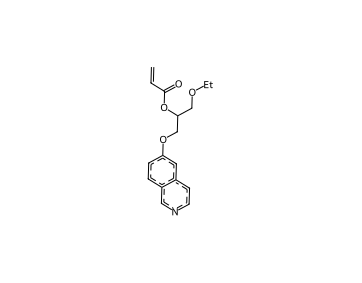 C=CC(=O)OC(COCC)COc1ccc2cnccc2c1